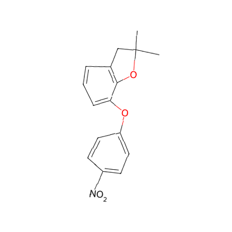 CC1(C)Cc2cccc(Oc3ccc([N+](=O)[O-])cc3)c2O1